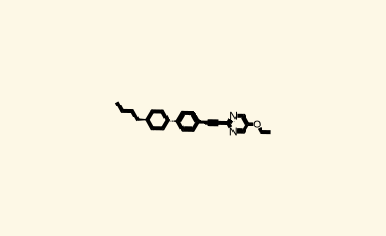 CCCC[C@H]1CC[C@H](c2ccc(C#Cc3ncc(OCC)cn3)cc2)CC1